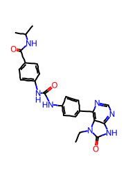 CCn1c(=O)[nH]c2ncnc(-c3ccc(NC(=O)Nc4ccc(C(=O)NC(C)C)cc4)cc3)c21